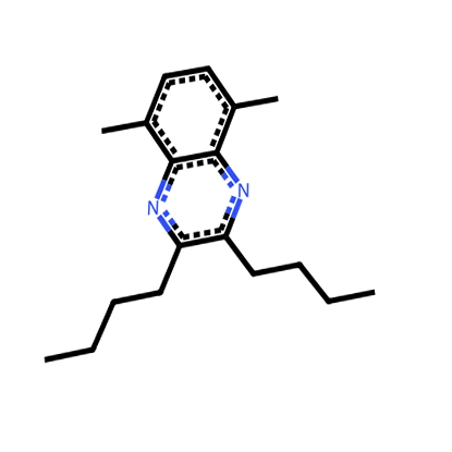 CCCCc1nc2c(C)ccc(C)c2nc1CCCC